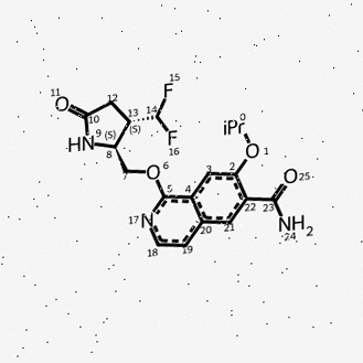 CC(C)Oc1cc2c(OC[C@H]3NC(=O)C[C@@H]3C(F)F)nccc2cc1C(N)=O